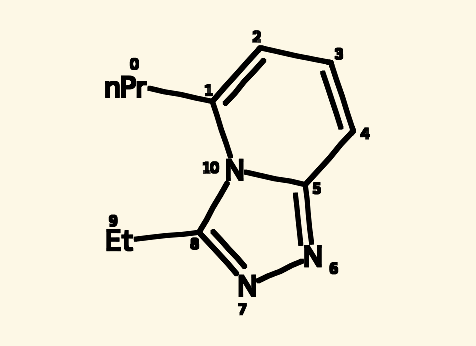 CCCc1cccc2nnc(CC)n12